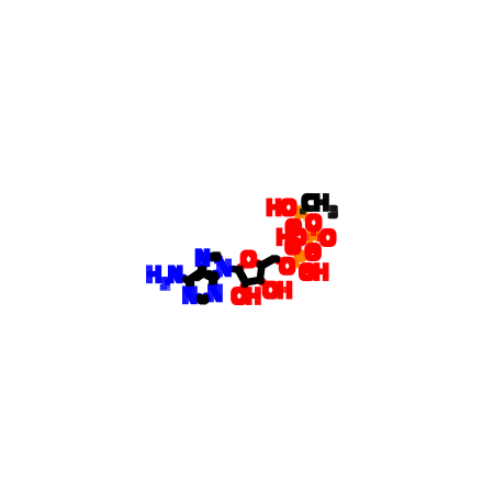 CP(=O)(O)OP(=O)(O)OP(=O)(O)OCC1OC(n2cnc3c(N)ncnc32)C(O)C1O